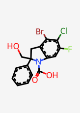 O=C(O)N1c2cc(F)c(Cl)c(Br)c2CC1(CO)c1ccccc1